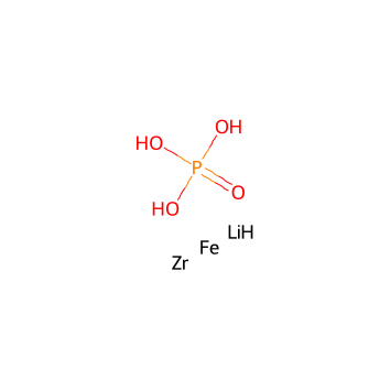 O=P(O)(O)O.[Fe].[LiH].[Zr]